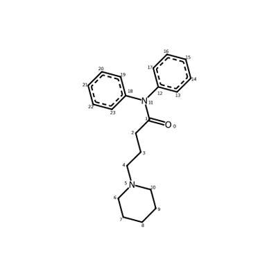 O=C(CCCN1CCCCC1)N(c1ccccc1)c1ccccc1